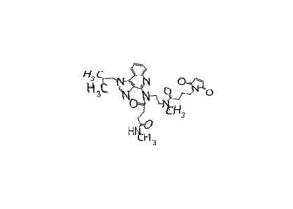 CNC(=O)CCC(=O)N(CCN(C)C(=O)CCCN1C(=O)C=CC1=O)c1nc2ccccc2c2c1ncn2CC(C)C